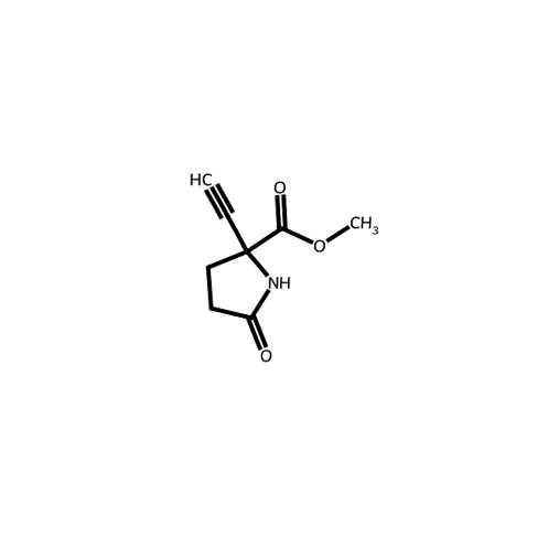 C#CC1(C(=O)OC)CCC(=O)N1